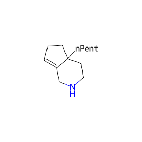 CCCCCC12CCC=C1CNCC2